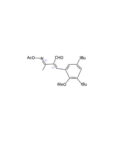 COc1c(/C=C(C=O)/C(C)=N/OC(C)=O)cc(C(C)(C)C)cc1C(C)(C)C